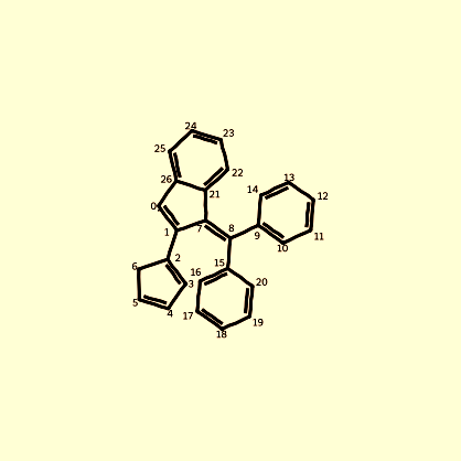 [C]1=C(C2=CC=CC2)C(=C(c2ccccc2)c2ccccc2)c2ccccc21